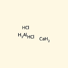 Cl.Cl.[AlH3].[CaH2]